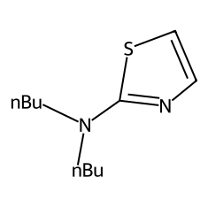 CCCCN(CCCC)c1nccs1